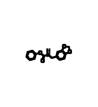 O=C(NCc1ccc2c(c1)OCO2)Oc1ccccc1